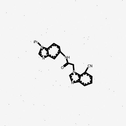 CC(C)n1cnc2cc(NC(=O)Cn3cnc4cccc(C#N)c43)ccc21